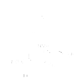 CC/C=C/CC(C[C@H](NC(=O)[C@H](CC(C)C)NC(=O)O)C(=O)O)C(=O)NC